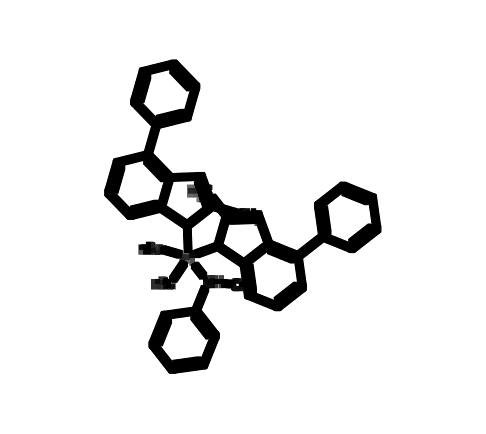 CCC[CH2][Hf]([CH2]CCC)([CH]1C(C)=Cc2c(-c3ccccc3)cccc21)([CH]1C(C)=Cc2c(-c3ccccc3)cccc21)[SiH](C)c1ccccc1